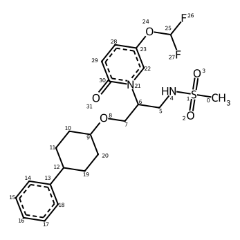 CS(=O)(=O)NCC(COC1CCC(c2ccccc2)CC1)n1cc(OC(F)F)ccc1=O